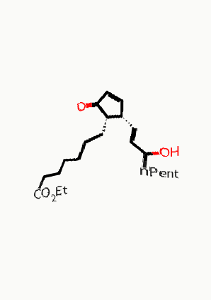 CCCCCC(O)/C=C/[C@H]1C=CC(=O)[C@H]1CCCCCCC(=O)OCC